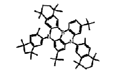 Cc1cc2c(cc1N1c3cc(C(C)(C)C)ccc3B3c4cc5c(cc4N(c4cc6c(cc4C)C(C)(C)CC6(C)C)c4cc(C(C)(C)C)cc1c43)C(C)(C)CCC5(C)C)C(C)(C)CCC2(C)C